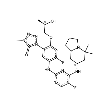 C[C@@H](O)COc1cc(F)c(Nc2ncc(F)c(N[C@@H]3CC4CCCN4C(C)(C)C3)n2)cc1-n1nnn(C)c1=O